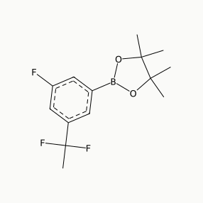 CC(F)(F)c1cc(F)cc(B2OC(C)(C)C(C)(C)O2)c1